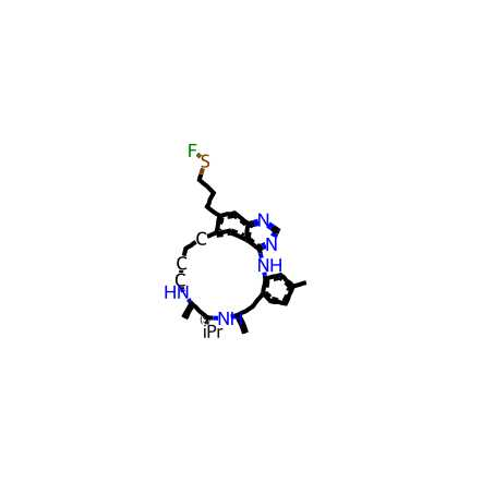 C=C1Cc2ccc(C)cc2Nc2ncnc3cc(CCCSF)c(cc23)CCCCNC(=C)[C@H](C(C)C)N1